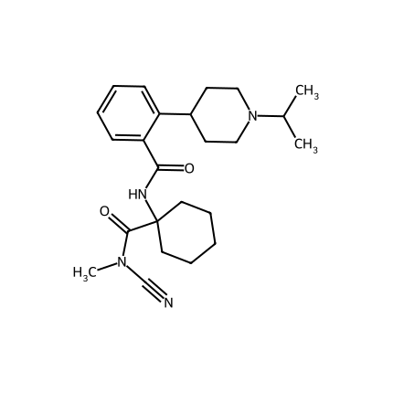 CC(C)N1CCC(c2ccccc2C(=O)NC2(C(=O)N(C)C#N)CCCCC2)CC1